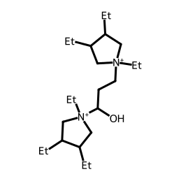 CCC1C[N+](CC)(CCC(O)[N+]2(CC)CC(CC)C(CC)C2)CC1CC